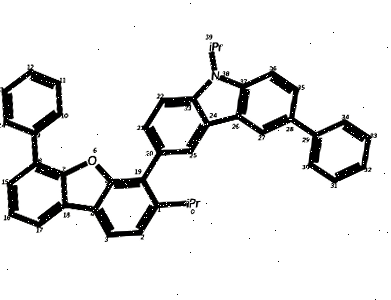 CC(C)c1ccc2c(oc3c(-c4ccccc4)cccc32)c1-c1ccc2c(c1)c1cc(-c3ccccc3)ccc1n2C(C)C